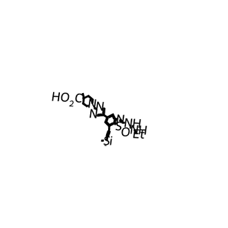 CCNC(=O)Nc1nc2cc(-c3cnc(N4CCC(C)(C(=O)O)CC4)nc3)cc(C#C[Si](C)(C)C)c2s1